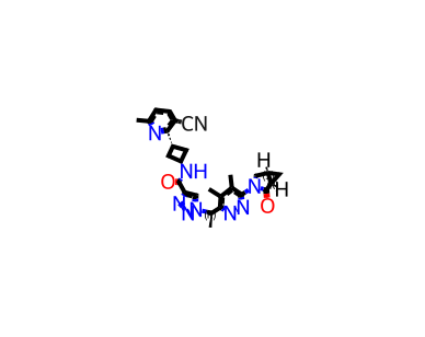 Cc1ccc(C#N)c([C@H]2C[C@@H](NC(=O)c3cn([C@H](C)c4nnc(N5C[C@H]6C[C@H]6C5=O)c(C)c4C)nn3)C2)n1